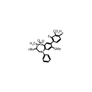 CCCCC1CN(c2ccccc2)c2cc(SC)c(-c3ccc(F)c(C(=O)O)c3F)cc2S(=O)(=O)N1C